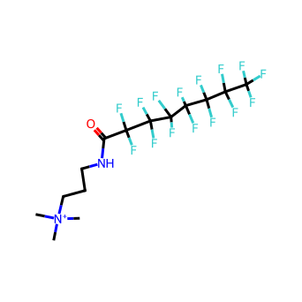 C[N+](C)(C)CCCNC(=O)C(F)(F)C(F)(F)C(F)(F)C(F)(F)C(F)(F)C(F)(F)C(F)(F)F